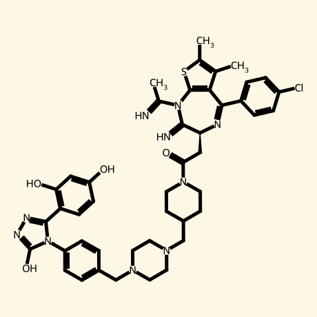 CC(=N)N1C(=N)[C@H](CC(=O)N2CCC(CN3CCN(Cc4ccc(-n5c(O)nnc5-c5ccc(O)cc5O)cc4)CC3)CC2)N=C(c2ccc(Cl)cc2)c2c1sc(C)c2C